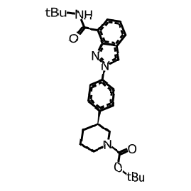 CC(C)(C)NC(=O)c1cccc2cn(-c3ccc([C@@H]4CCCN(C(=O)OC(C)(C)C)C4)cc3)nc12